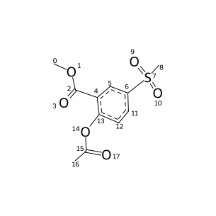 COC(=O)c1cc(S(C)(=O)=O)ccc1OC(C)=O